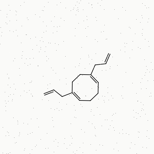 C=CCC1=CCCC=C(CC=C)CC1